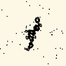 O=C(c1ccc(-c2cc(Cl)c(CC3CCN(C4CCC(O)CC4)C3=O)c(Cl)c2)cc1)N1CCCOCC1